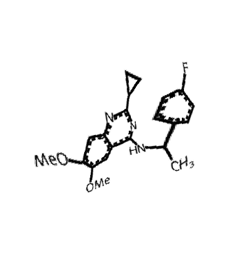 COc1cc2nc(C3CC3)nc(NC(C)c3ccc(F)cc3)c2cc1OC